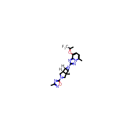 Cc1noc(N2C[C@H]3[C@@H]4N(c5nc6c(OC(C)C(F)(F)F)ccc(C)n6n5)[C@]45CC35C2)n1